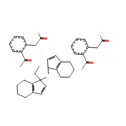 C1=C[C]2(CC[C@@]3(C=CC4=C3CCCC4)[Zr+2]2)C2=C1CCCC2.CC(=O)c1ccccc1[C@@H](O)C(=O)[O-].CC(=O)c1ccccc1[C@@H](O)C(=O)[O-]